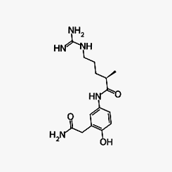 C[C@H](CCCNC(=N)N)C(=O)Nc1ccc(O)c(CC(N)=O)c1